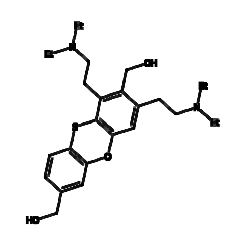 CCN(CC)CCc1cc2c(c(CCN(CC)CC)c1CO)Sc1ccc(CO)cc1O2